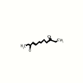 CCC(=O)CCCCCCC(=O)CC